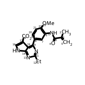 C=C(C)C(=O)Nc1cc(-c2nc(CC)nc3[nH]cc(C(=O)O)c23)ccc1OC